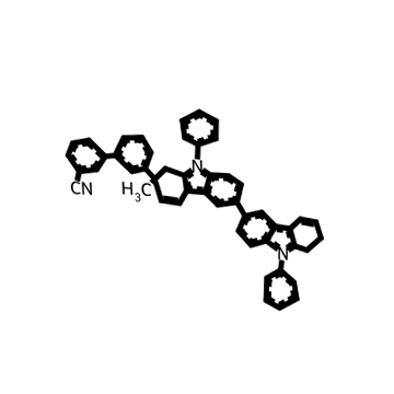 CC1(c2cccc(-c3cccc(C#N)c3)c2)C=Cc2c(n(-c3ccccc3)c3ccc(-c4ccc5c(c4)c4c(n5-c5ccccc5)CCC=C4)cc23)C1